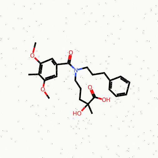 COc1cc(C(=O)N(CCCc2ccccc2)CCCC(C)(O)C(=O)O)cc(OC)c1C